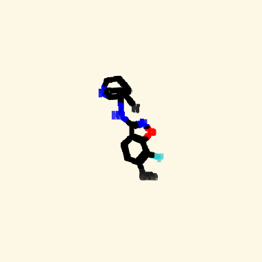 COc1ccc2c(N[C@@H]3CN4CCC3CC4)noc2c1F